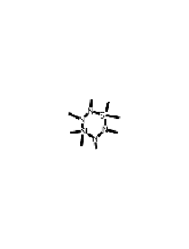 CN1N(C)[Si](C)(C)N(C)N(C)[Si]1(C)C